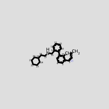 C=C/C=C\c1cccc(-c2ccccc2CNCCC2CCCCC2)c1C